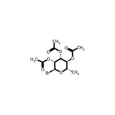 CC(=O)O[C@@H]1[C@@H](OC(C)=O)[C@H](C)O[C@@H](Br)[C@@H]1OC(C)=O